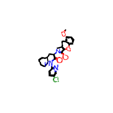 COc1cccc2c1CC1=C(O2)C(=O)N(C(CC2CCCCC2)C(=O)Nc2ccc(Cl)cn2)C1